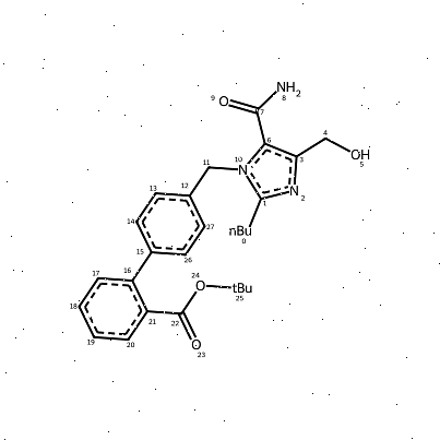 CCCCc1nc(CO)c(C(N)=O)n1Cc1ccc(-c2ccccc2C(=O)OC(C)(C)C)cc1